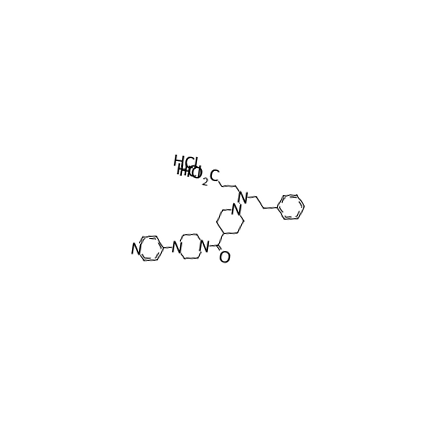 Cl.Cl.O=C(O)CCN(CCc1ccccc1)N1CCC(C(=O)N2CCN(c3ccncc3)CC2)CC1